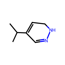 CC(C)C1=CCNN=C1